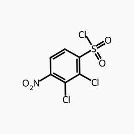 O=[N+]([O-])c1ccc(S(=O)(=O)Cl)c(Cl)c1Cl